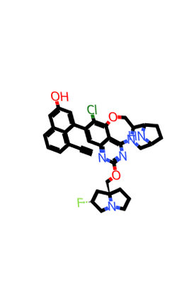 C#Cc1cccc2cc(O)cc(-c3cc4nc(OC[C@@]56CCCN5C[C@H](F)C6)nc5c4c(c3Cl)OCC3C4CCC(CN53)N4)c12